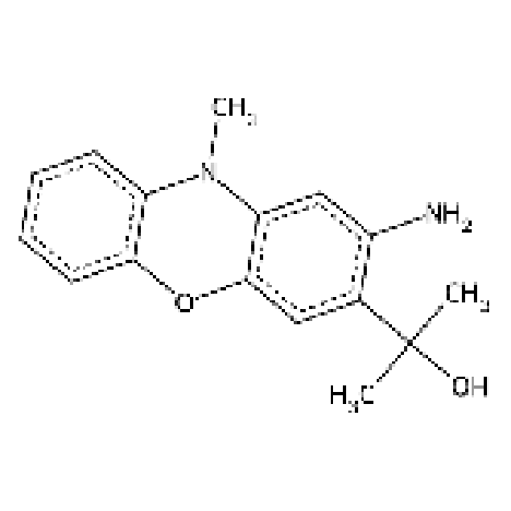 CN1c2ccccc2Oc2cc(C(C)(C)O)c(N)cc21